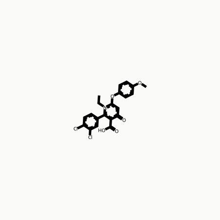 CCn1c(Oc2ccc(OC)cc2)cc(=O)c(C(=O)O)c1-c1ccc(Cl)c(Cl)c1